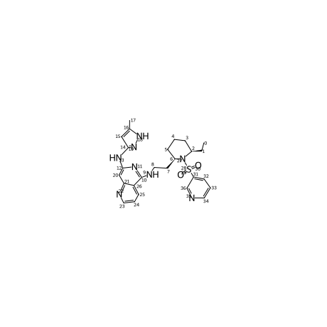 CC[C@@H]1CCC[C@H](CCNc2nc(Nc3cc(C)[nH]n3)cc3ncccc23)N1S(=O)(=O)c1cccnc1